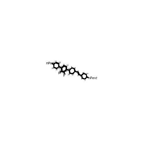 CCCCCC1CCC(/C=C/C2CCC(c3ccc(C4C=CC(CCC)CC4)c(F)c3F)CC2)CC1